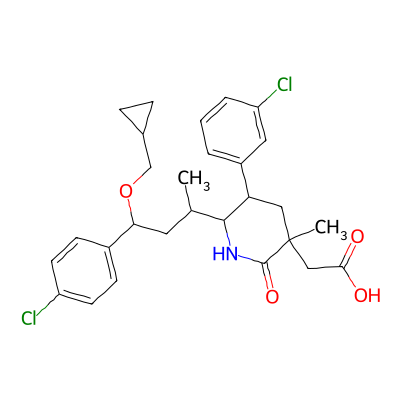 CC(CC(OCC1CC1)c1ccc(Cl)cc1)C1NC(=O)C(C)(CC(=O)O)CC1c1cccc(Cl)c1